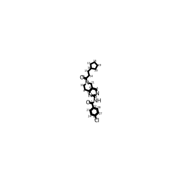 O=C(Nc1ncc2c(n1)CCN(C(=O)CCC1CCCC1)C2)c1ccc(Cl)cc1